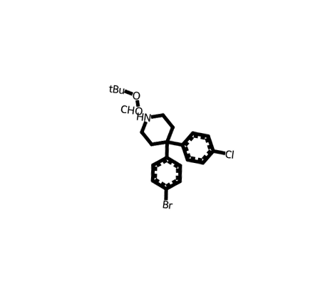 CC(C)(C)OC=O.Clc1ccc(C2(c3ccc(Br)cc3)CCNCC2)cc1